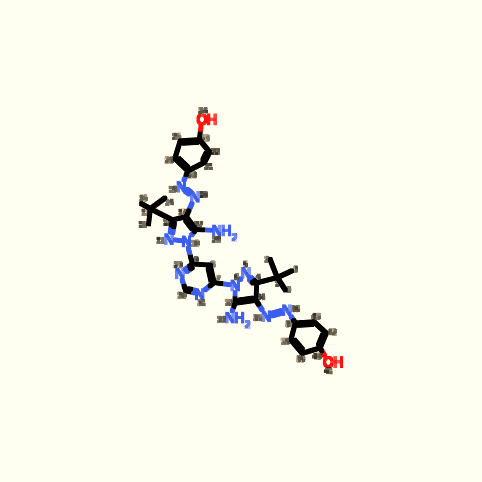 CC(C)(C)c1nn(-c2cc(-n3nc(C(C)(C)C)c(/N=N/c4ccc(O)cc4)c3N)ncn2)c(N)c1/N=N/c1ccc(O)cc1